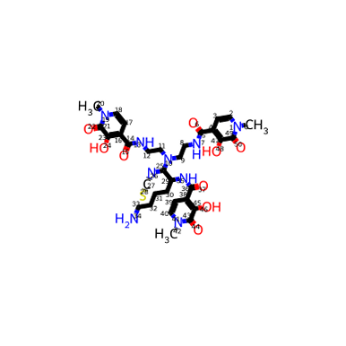 Cn1ccc(C(=O)NCCN(CCNC(=O)c2ccn(C)c(=O)c2O)C(N=C=S)C(CCCCN)NC(=O)c2ccn(C)c(=O)c2O)c(O)c1=O